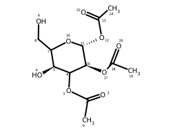 CC(=O)OC1[C@@H](O)C(CO)O[C@H](OC(C)=O)[C@H]1OC(C)=O